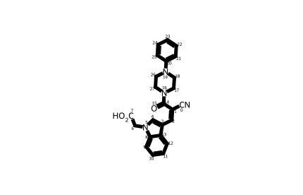 N#CC(=Cc1cn(CC(=O)O)c2ccccc12)C(=O)N1CCN(c2ccccc2)CC1